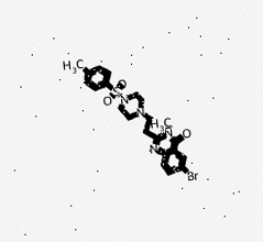 Cc1ccc(S(=O)(=O)N2CCN(CCc3nc4ccc(Br)cc4c(=O)n3C)CC2)cc1